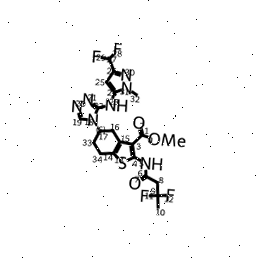 COC(=O)c1c(NC(=O)CC(C)(F)F)sc2c1C[C@@H](n1cnnc1Nc1cc(C(F)F)nn1C)CC2